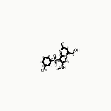 CNc1nn2c(CO)cc(C)nc2c1S(=O)(=O)c1cccc(Cl)c1